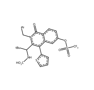 CC(C)Cn1c(C(NC(=O)O)C(C)(C)C)c(-c2cccs2)c2cc(OS(=O)(=O)C(F)(F)F)ccc2c1=O